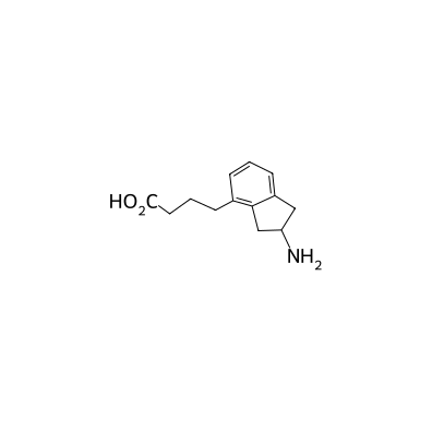 NC1Cc2cccc(CCCC(=O)O)c2C1